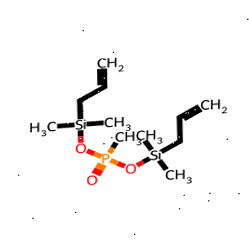 C=CC[Si](C)(C)OP(C)(=O)O[Si](C)(C)CC=C